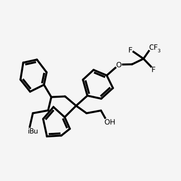 CCC(C)CCC(CC(CCO)(c1ccccc1)c1ccc(OCC(F)(F)C(F)(F)F)cc1)c1ccccc1